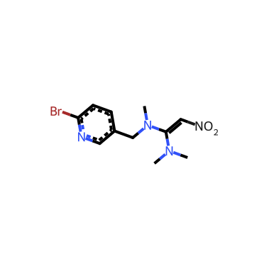 CN(C)C(=C[N+](=O)[O-])N(C)Cc1ccc(Br)nc1